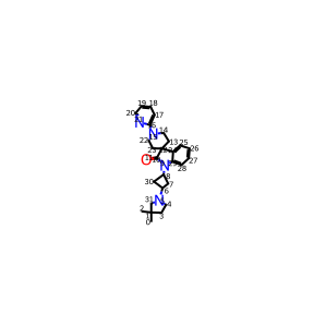 CC1(C)CCN(C2CC(N3C(=O)C4(CCN(c5ccccn5)CC4)c4ccccc43)C2)C1